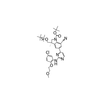 COCCOc1ccc(Cl)cc1Nc1nccc(-c2cc(C#N)c3c(c2)[C@@](C)(CO[Si](C)(C)C(C)(C)C)CN3C(=O)OC(C)(C)C)n1